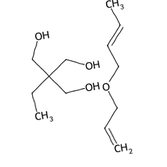 C=CCOCC=CC.CCC(CO)(CO)CO